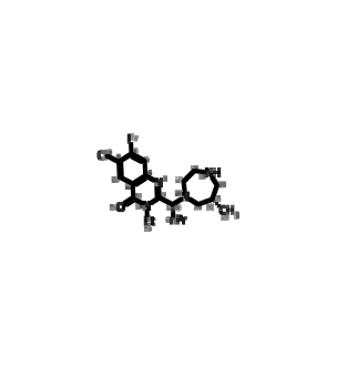 CCC[C@@H](c1nc2cc(F)c(Cl)cc2c(=O)n1CC)N1CCNC[C@H](C)C1